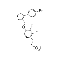 CCc1ccc(C2=C(COc3ccc(CCC(=O)O)c(F)c3F)CCC2)cc1